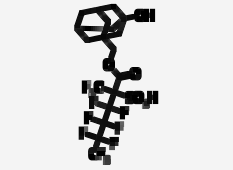 O=C(OCC12CC3CC(CC(O)(C3)C1)C2)C(C(F)(F)F)(C(F)(F)C(F)(F)C(F)(F)C(F)(F)F)S(=O)(=O)O